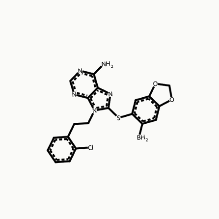 Bc1cc2c(cc1Sc1nc3c(N)ncnc3n1CCc1ccccc1Cl)OCO2